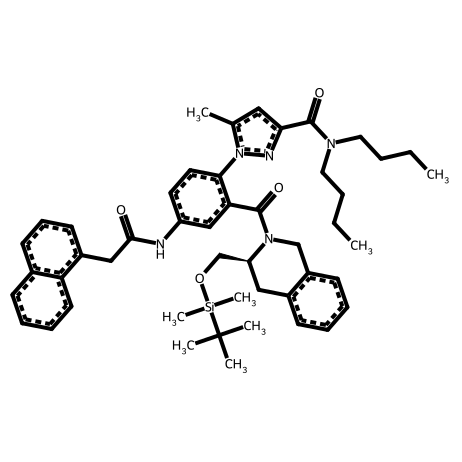 CCCCN(CCCC)C(=O)c1cc(C)n(-c2ccc(NC(=O)Cc3cccc4ccccc34)cc2C(=O)N2Cc3ccccc3C[C@H]2CO[Si](C)(C)C(C)(C)C)n1